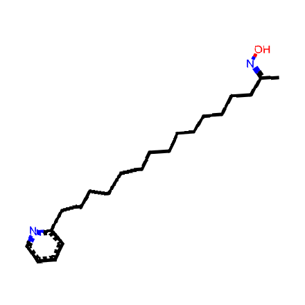 CC(CCCCCCCCCCCCCCc1ccccn1)=NO